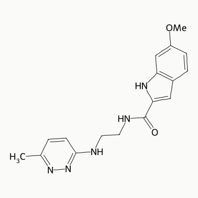 COc1ccc2cc(C(=O)NCCNc3ccc(C)nn3)[nH]c2c1